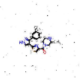 C[C@H]1CN(C(=O)c2csc(-c3c[nH]nc3-c3cccc(C(F)(F)F)c3)n2)CCN1